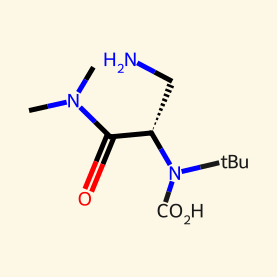 CN(C)C(=O)[C@H](CN)N(C(=O)O)C(C)(C)C